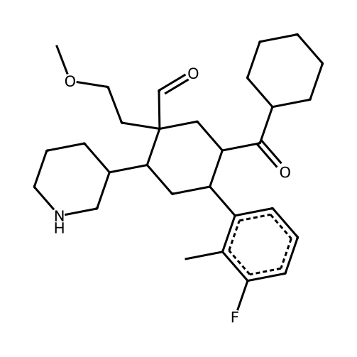 COCCC1(C=O)CC(C(=O)C2CCCCC2)C(c2cccc(F)c2C)CC1C1CCCNC1